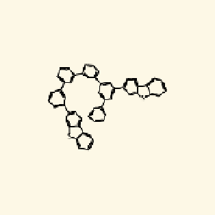 c1ccc(-c2cc(-c3cccc(-c4cccc(-c5cccc(-c6ccc7c(c6)sc6ccccc67)c5)c4)c3)cc(-c3ccc4c(c3)sc3ccccc34)c2)cc1